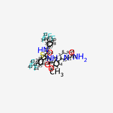 COc1ccc(C2CCCN(CC(N)=O)C2)cc1C(=O)Nc1c(C(=O)Nc2ccc(F)c(C(F)(F)F)c2)sc2cc(C(F)(F)F)ccc12